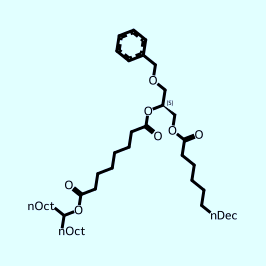 CCCCCCCCCCCCCCCC(=O)OC[C@H](COCc1ccccc1)OC(=O)CCCCCCC(=O)OC(CCCCCCCC)CCCCCCCC